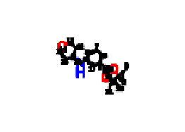 CC1(C)OB(c2cccc(NC3CCOCC3)c2)OC1(C)C